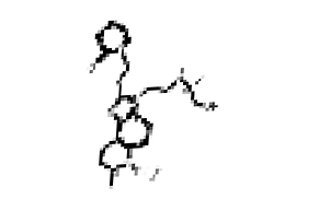 C[C@H](CO)NCCn1c(CCn2ccccc2=O)nc2c3c(ccc21)N(C(=O)O)[C@@H](C)CC3